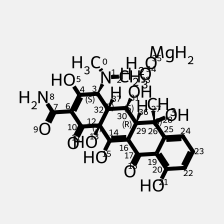 CN(C)[C@@H]1C(O)=C(C(N)=O)C(=O)[C@@]2(O)C(O)=C3C(=O)c4c(O)cccc4[C@@](C)(O)[C@H]3[C@H](O)[C@@H]12.O.O.[MgH2]